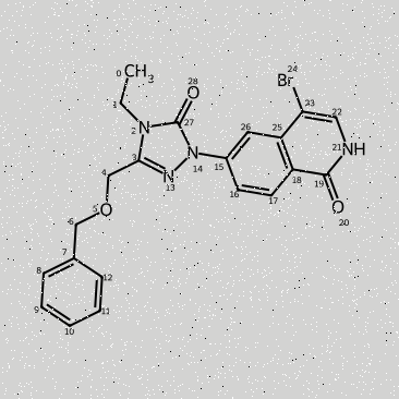 CCn1c(COCc2ccccc2)nn(-c2ccc3c(=O)[nH]cc(Br)c3c2)c1=O